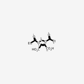 CCC(=O)OSOC(=O)CC.O=C(O)/C=C\C(=O)O